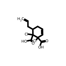 C=CCC1CC=CC(Cl)(C(=O)O)C1(Cl)C(=O)O